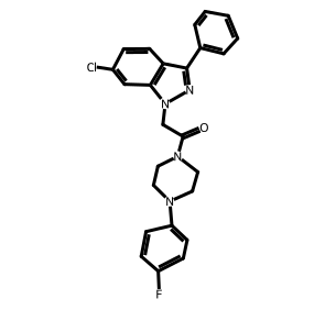 O=C(Cn1nc(-c2ccccc2)c2ccc(Cl)cc21)N1CCN(c2ccc(F)cc2)CC1